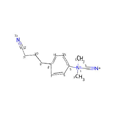 C[N+](C)(C#N)c1ccc(CCCC#N)cc1